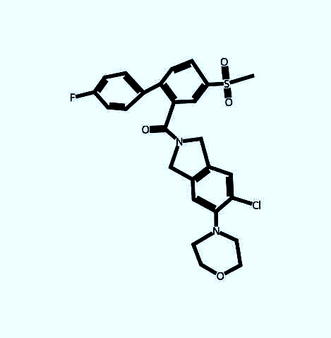 CS(=O)(=O)c1ccc(-c2ccc(F)cc2)c(C(=O)N2Cc3cc(Cl)c(N4CCOCC4)cc3C2)c1